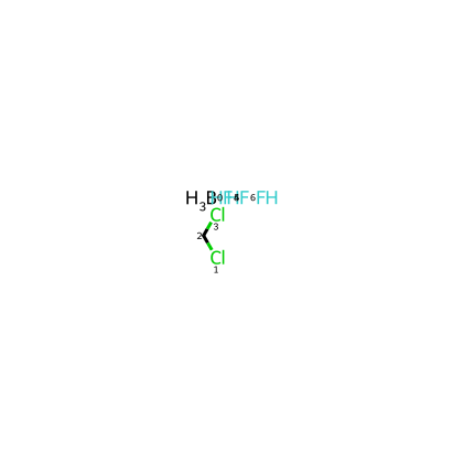 B.ClCCl.F.F.F